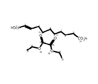 CCCCCCCCC=CCCCCCCCC(=O)O.CCOC(=O)C(=O)OCC